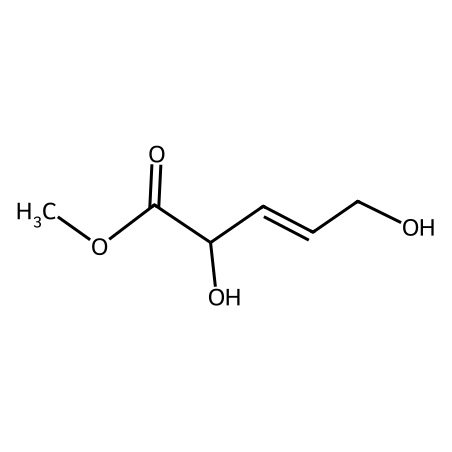 COC(=O)C(O)/C=C/CO